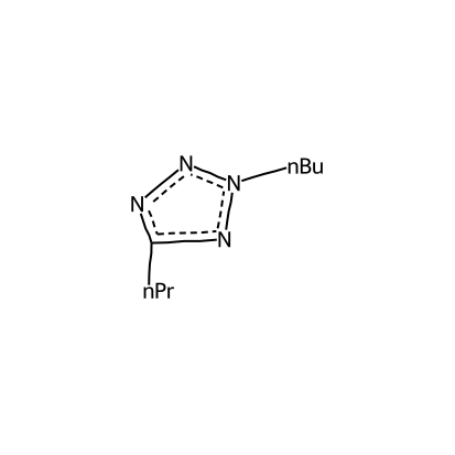 CCCCn1nnc(CCC)n1